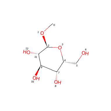 CO[C@H]1O[C@H](CO)[C@H](O)[C@@H](O)[C@@H]1O